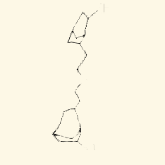 SC1CC2CC(CCSCCC3CC4CC(S)C3C4)C1C2